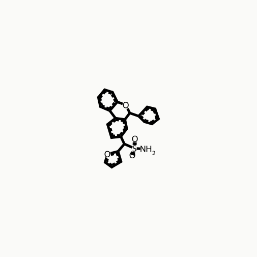 NS(=O)(=O)C(c1ccc2c(c1)C(c1ccccc1)Oc1ccccc1-2)c1ccco1